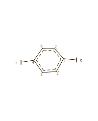 Ic1[c]cc(I)c[c]1